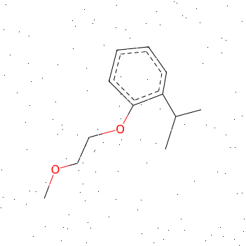 COCCOc1ccccc1C(C)C